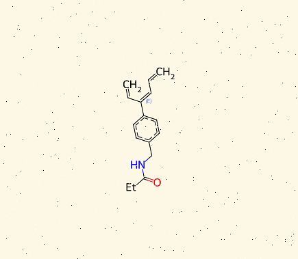 C=C/C=C(\C=C)c1ccc(CNC(=O)CC)cc1